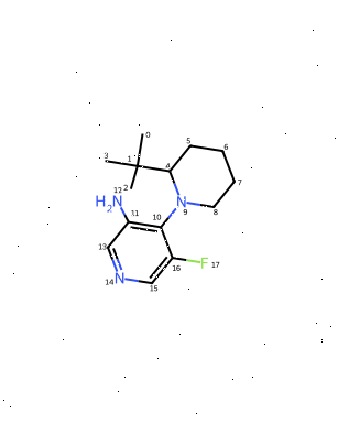 CC(C)(C)C1CCCCN1c1c(N)cncc1F